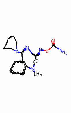 CN1CC(=NOC(N)=O)N=C(N2CCCCC2)c2ccccc21